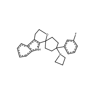 Fc1cccc(C2(N3CCC3)CCC3(CC2)OCCc2c3[nH]c3ccccc23)c1